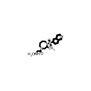 CNCC(=O)N1CCCCN(S(=O)(=O)c2ccc3cnccc3c2)C(C)C1